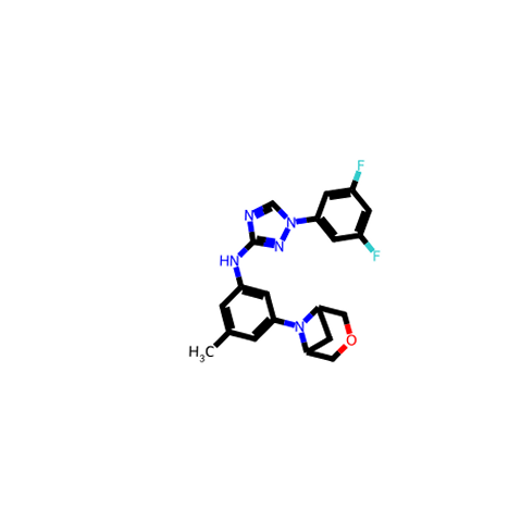 Cc1cc(Nc2ncn(-c3cc(F)cc(F)c3)n2)cc(N2C3COCC2C3)c1